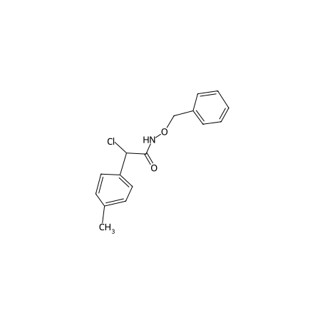 Cc1ccc(C(Cl)C(=O)NOCc2ccccc2)cc1